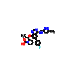 CCC(Oc1cc(-c2ccc(F)cc2)cc2c(NCc3ccc(C)nn3)ncnc12)C1CCCCN1C(=O)O